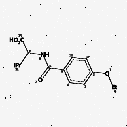 CCOc1ccc(C(=O)NC(C(=O)O)C(C)C)cc1